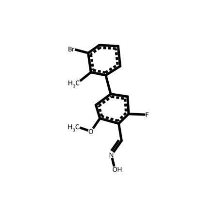 COc1cc(-c2cccc(Br)c2C)cc(F)c1C=NO